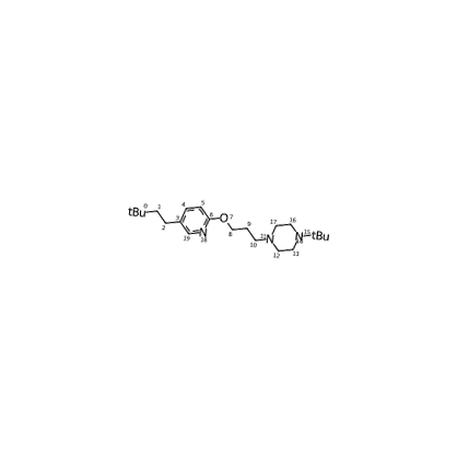 CC(C)(C)CCc1ccc(OCCCN2CCN(C(C)(C)C)CC2)nc1